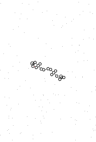 c1ccc2c(c1)oc1c(-c3ccc(-c4c5ccccc5c(-c5ccc6ccc(-c7ccc8ccc(-c9c%10ccccc%10c(-c%10cccc%11oc%12ccccc%12c%10%11)c%10ccccc9%10)cc8c7)cc6c5)c5ccccc45)cc3)cccc12